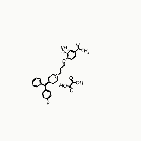 COc1cc(C(C)=O)ccc1OCCCN1CCC(=C(c2ccccc2)c2ccc(F)cc2)CC1.O=C(O)C(=O)O